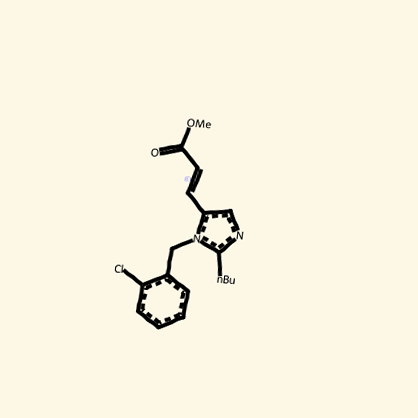 CCCCc1ncc(/C=C/C(=O)OC)n1Cc1ccccc1Cl